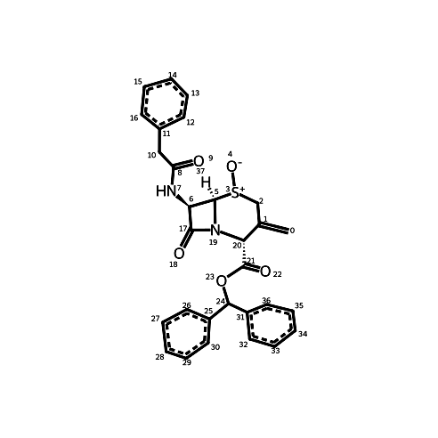 C=C1C[S+]([O-])[C@@H]2[C@H](NC(=O)Cc3ccccc3)C(=O)N2[C@H]1C(=O)OC(c1ccccc1)c1ccccc1